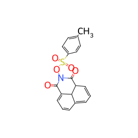 Cc1ccc(S(=O)(=O)ON2C(=O)C3=CC=CC4=CC=CC(C2=O)C43)cc1